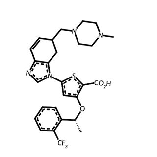 C[C@@H](Oc1cc(-n2cnc3c2CC(CN2CCN(C)CC2)C=C3)sc1C(=O)O)c1ccccc1C(F)(F)F